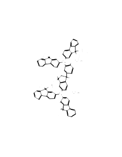 COc1ccc(C2(C)CC(C)(C)c3cc(N(c4ccc5c(c4)C(C)(C)c4ccccc4-5)c4ccc5c(c4)C(C)(C)c4ccccc4-5)c(OC)cc32)cc1N(c1ccc2c(c1)C(C)(C)c1ccccc1-2)c1ccc2c(c1)C(C)(C)c1ccccc1-2